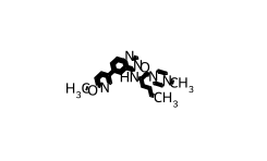 CCCCC(Nc1ncnc2ccc(-c3ccc(OC)nc3)cc12)C(=O)N1CCN(C)CC1